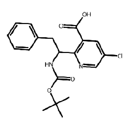 CC(C)(C)OC(=O)NC(Cc1ccccc1)c1ncc(Cl)cc1C(=O)O